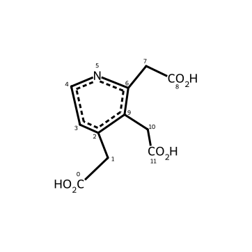 O=C(O)Cc1ccnc(CC(=O)O)c1CC(=O)O